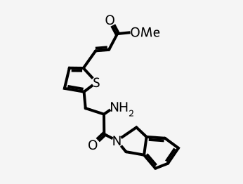 COC(=O)C=Cc1ccc(CC(N)C(=O)N2Cc3ccccc3C2)s1